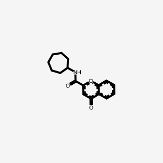 O=C(NC1CCCCCC1)c1cc(=O)c2ccccc2o1